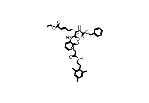 CCOC(=O)/C=C/CC[C@H](NC(=O)OCc1ccccc1)C(=O)Nc1cccn(CC(=O)NCCc2c(C)cc(C)cc2C)c1=O